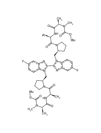 CC(C)[C@@H](NC(=O)[C@@H](C)N(C)C(=O)OC(C)(C)C)C(=O)N1CCC[C@H]1Cn1c(-c2nc3cc(F)ccc3n2C[C@@H]2CCCN2C(=O)[C@@H](C)NC(=O)[C@@H](C)N(C)C(=O)OC(C)(C)C)nc2cc(F)ccc21